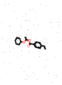 C=Cc1ccc(C(=O)OC(C)OC2CCCCC2)cc1